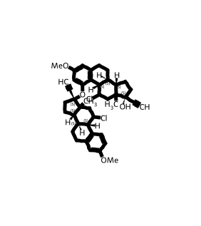 C#C[C@]1(O)CC[C@H]2[C@@H]3CCc4cc(OC)cc(O[C@@]5(C#C)CC[C@H]6[C@@H]7CCc8cc(OC)ccc8[C@H]7C(Cl)CC65C)c4[C@H]3C(Cl)CC21C